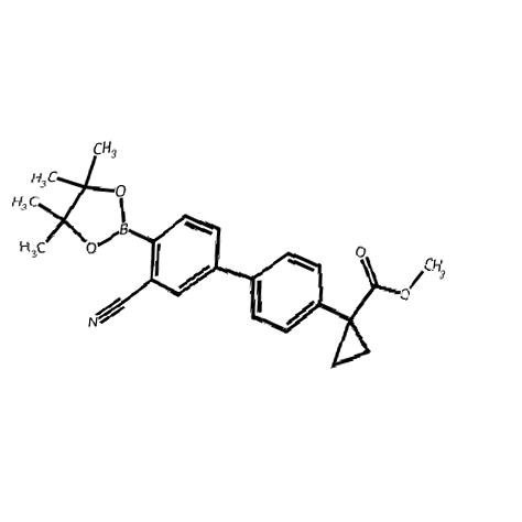 COC(=O)C1(c2ccc(-c3ccc(B4OC(C)(C)C(C)(C)O4)c(C#N)c3)cc2)CC1